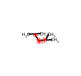 CCCCCCCCC(CCCCCCCC)OC(=O)CCCCCOCC(OCCCCCC(=O)OC(CCCCCCCC)CCCCCCCC)C(=O)O